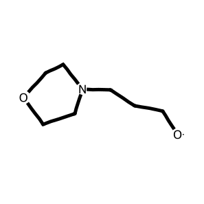 [O]CCCN1CCOCC1